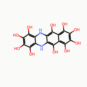 Oc1c(O)c(O)c2c(c1O)Nc1c(c(O)c3c(O)c(O)c(O)c(O)c3c1O)N2